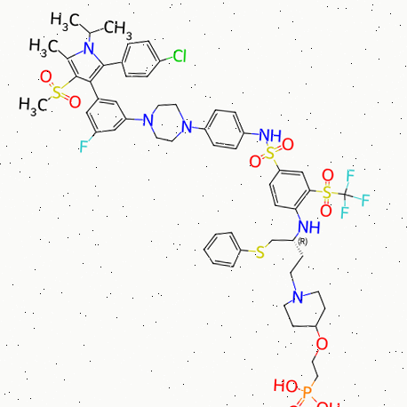 Cc1c(S(C)(=O)=O)c(-c2cc(F)cc(N3CCN(c4ccc(NS(=O)(=O)c5ccc(N[C@H](CCN6CCC(OCCP(=O)(O)O)CC6)CSc6ccccc6)c(S(=O)(=O)C(F)(F)F)c5)cc4)CC3)c2)c(-c2ccc(Cl)cc2)n1C(C)C